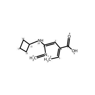 C=N/C(=C\C(=C/C)C(=O)O)NC1CCC1